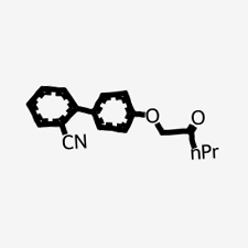 CCCC(=O)COc1ccc(-c2ccccc2C#N)cc1